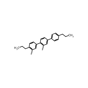 CCCc1ccc(-c2ccc(-c3ccc(CCC)c(F)c3)c(F)c2)cc1